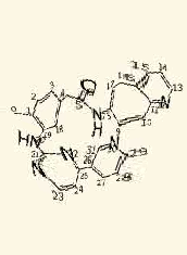 Cc1ccc(C(=O)Nc2ccc3ncccc3c2)cc1Nc1nccc(-c2cccnc2)n1